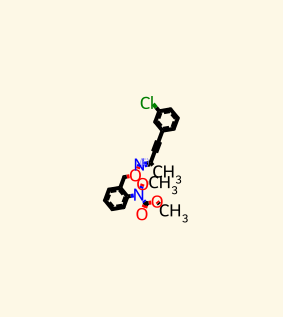 COC(=O)N(OC)c1ccccc1CO/N=C(\C)C#Cc1cccc(Cl)c1